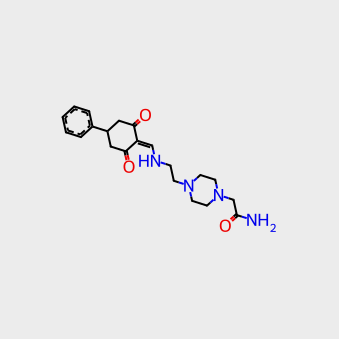 NC(=O)CN1CCN(CCNC=C2C(=O)CC(c3ccccc3)CC2=O)CC1